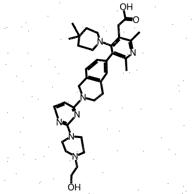 Cc1nc(C)c(-c2ccc3c(c2)CCN(c2ccnc(N4CCN(CCO)CC4)n2)C3)c(N2CCC(C)(C)CC2)c1CC(=O)O